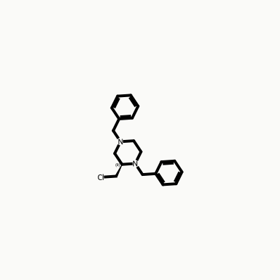 ClC[C@H]1CN(Cc2ccccc2)CCN1Cc1ccccc1